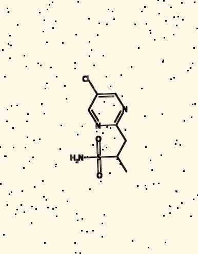 CC(Cc1ncc(Cl)cn1)S(N)(=O)=O